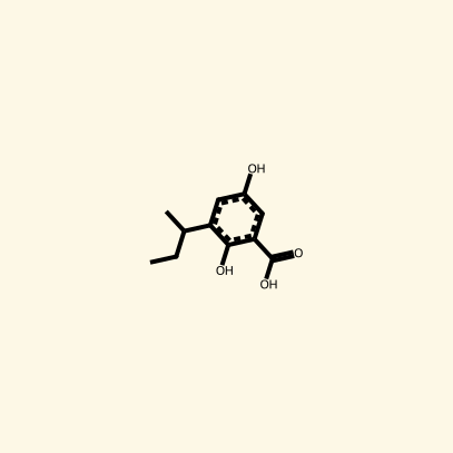 CCC(C)c1cc(O)cc(C(=O)O)c1O